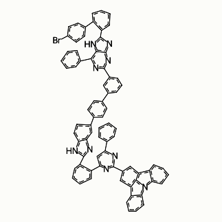 Brc1ccc(-c2ccccc2-c2nc3nc(-c4cccc(-c5ccc(-c6ccc7[nH]c(-c8ccccc8-c8cc(-c9ccccc9)nc(-c9cc%10c%11ccccc%11n%11c%12ccccc%12c(c9)c%10%11)n8)nc7c6)cc5)c4)nc(-c4ccccc4)c3[nH]2)cc1